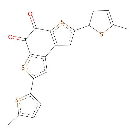 CC1=CCC(c2cc3c(s2)C(=O)C(=O)c2sc(-c4ccc(C)s4)cc2-3)S1